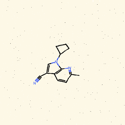 Cc1ccc2c(C#N)cn(C3CCC3)c2n1